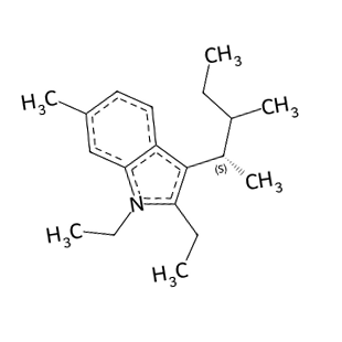 CCc1c([C@@H](C)C(C)CC)c2ccc(C)cc2n1CC